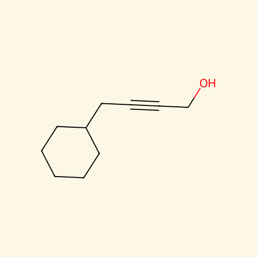 OCC#CCC1CCCCC1